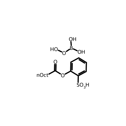 CCCCCCCCC(=O)Oc1ccccc1S(=O)(=O)O.OOB(O)O